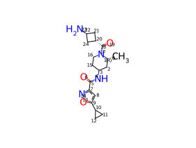 C[C@@H]1CC(NC(=O)c2cc(C3CC3)on2)CCN1C(=O)[C@H]1C[C@H](N)C1